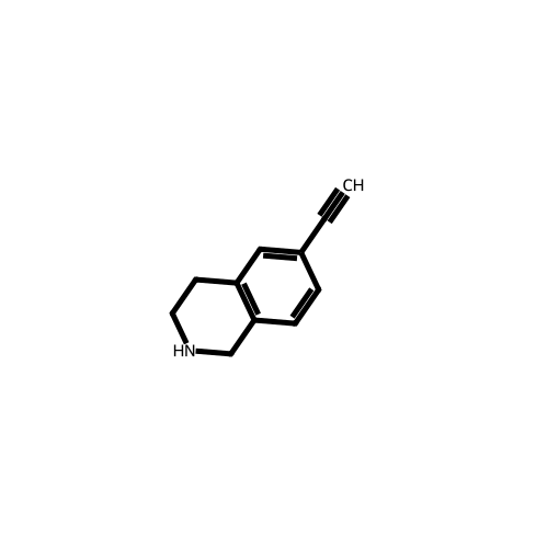 C#Cc1ccc2c(c1)CCNC2